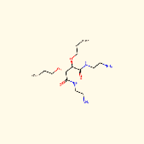 CCCCCCCCCCCCO[C@@H](C(=O)NCCN)[C@@H](OCCCCCCCCCCCC)C(=O)NCCN